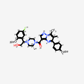 COc1ccc(-c2nc3c(C(=O)N4CCN(C(CO)c5cc(F)ccc5OC)C[C@H]4C)cnn3c(C(F)(F)F)c2C)cc1